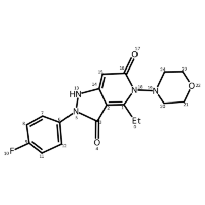 CCc1c2c(=O)n(-c3ccc(F)cc3)[nH]c2cc(=O)n1N1CCOCC1